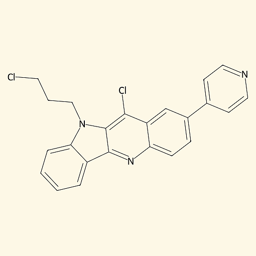 ClCCCn1c2ccccc2c2nc3ccc(-c4ccncc4)cc3c(Cl)c21